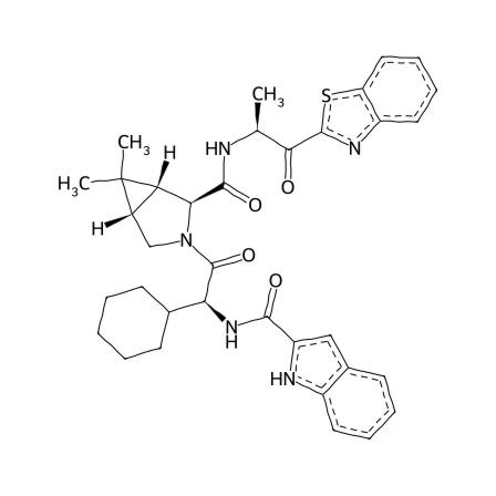 C[C@H](NC(=O)[C@@H]1[C@@H]2[C@H](CN1C(=O)[C@@H](NC(=O)c1cc3ccccc3[nH]1)C1CCCCC1)C2(C)C)C(=O)c1nc2ccccc2s1